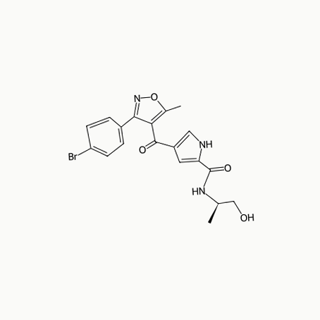 Cc1onc(-c2ccc(Br)cc2)c1C(=O)c1c[nH]c(C(=O)N[C@H](C)CO)c1